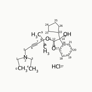 CCN(CC)CC#CC(C)(C)OC(=O)C(O)(c1ccccc1)C1CCCC1.Cl